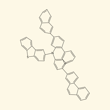 c1ccc(-c2ccc(-c3ccc4ccccc4c3)cc2N(c2ccc(-c3ccc4c(ccc5ccccc54)c3)cc2)c2ccc3sc4ccccc4c3c2)cc1